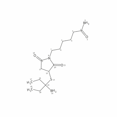 BC(=O)CCCCCN1C(=O)CC(SC(B)(CC)CC)C1=O